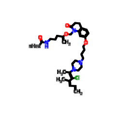 C=C/C=C(C)\C(Cl)=C(/C)N1CCN(CCCCOc2ccc3c(c2)N(COC(=C)CCCNC(=O)CCCCCC)C(=O)CC3)CC1